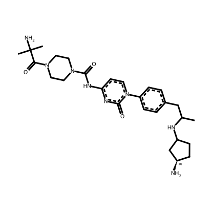 CC(Cc1ccc(-n2ccc(NC(=O)N3CCN(C(=O)C(C)(C)N)CC3)nc2=O)cc1)NC1CC[C@@H](N)C1